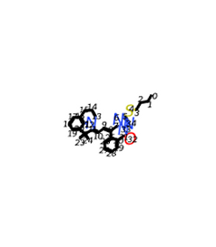 CCCCSc1nc2/c(=C/C=C3\N4CCCc5cccc(c54)C3(C)C)c3ccccc3c(=O)n2n1